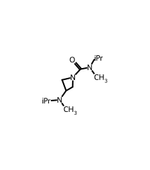 CC(C)N(C)C(=O)N1CC(N(C)C(C)C)C1